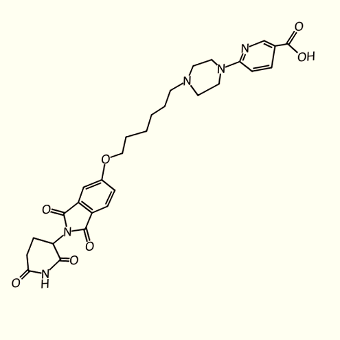 O=C1CCC(N2C(=O)c3ccc(OCCCCCCN4CCN(c5ccc(C(=O)O)cn5)CC4)cc3C2=O)C(=O)N1